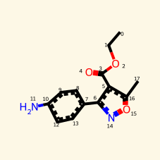 CCOC(=O)c1c(-c2ccc(N)cc2)noc1C